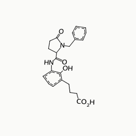 O=C(O)CCCc1cccc(NC(=O)C2CCC(=O)N2Cc2ccccc2)c1O